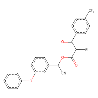 CC(C)C(C(=O)OC(C#N)c1cccc(Oc2ccccc2)c1)C(=O)c1ccc(C(F)(F)F)cc1